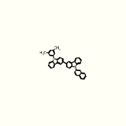 Cc1cc(C)cc(-n2c3ccccc3c3cc(-c4ccc5c(c4)c4ccccc4n5-c4ccc5ccccc5c4)ccc32)c1